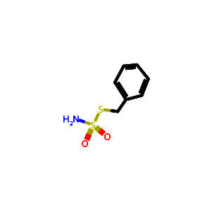 NS(=O)(=O)SCc1ccccc1